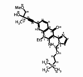 CCn1c(N)c(-c2nccn2COCC[Si](C)(C)C)c(=O)c2ccc(C#C[C@@](C)(O)COC)nc21